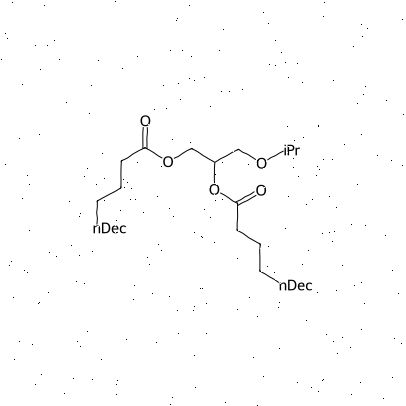 CCCCCCCCCCCCCC(=O)OCC(COC(C)C)OC(=O)CCCCCCCCCCCCC